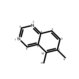 Cc1ccc2ncncc2c1C